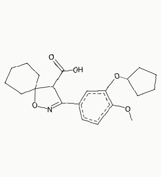 COc1ccc(C2=NOC3(CCCCC3)C2C(=O)O)cc1OC1CCCC1